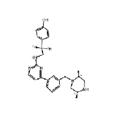 [2H]C([2H])(CNc1nccc(-c2cccc(CN3C[C@H](C)NC[C@@H]3C)c2)n1)c1ccc(O)cc1